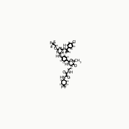 COC(=O)[C@H](CCNC(=O)C(=O)NC1CCC(F)(F)CC1)NC(=O)c1ccc(Nc2nc(NC3(c4ccc(Cl)cc4)CC3)nc(OCC(F)(F)F)n2)cc1